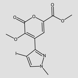 COC(=O)c1cc(-c2nn(C)cc2I)c(OC)c(=O)o1